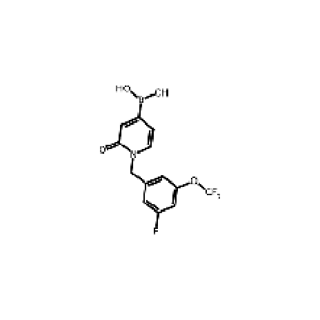 O=c1cc(B(O)O)ccn1Cc1cc(F)cc(OC(F)(F)F)c1